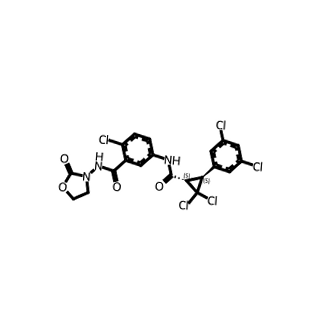 O=C(NN1CCOC1=O)c1cc(NC(=O)[C@@H]2[C@@H](c3cc(Cl)cc(Cl)c3)C2(Cl)Cl)ccc1Cl